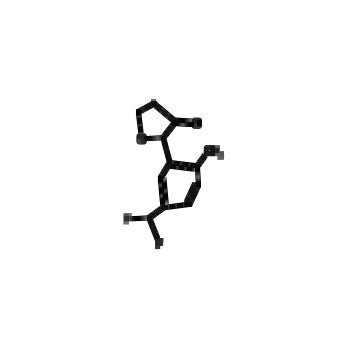 Cc1ccc(C(F)F)cc1C1OC[CH]C1=O